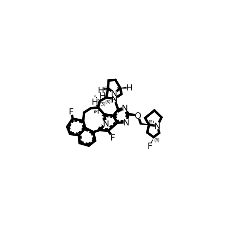 C[C@@H]1[C@H]2[C@@H]3CC[C@H](CN2c2nc(OC[C@@]45CCCN4C[C@H](F)C5)nc4c(F)c5nc(c24)[C@@H]1CCc1c(F)ccc2cccc-5c12)N3